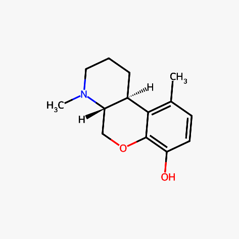 Cc1ccc(O)c2c1[C@@H]1CCCN(C)[C@H]1CO2